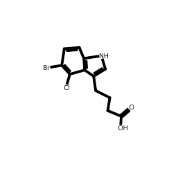 O=C(O)CCCc1c[nH]c2ccc(Br)c(Cl)c12